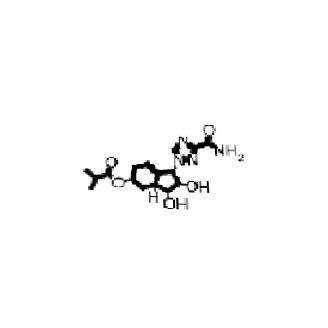 CC(C)C(=O)O[C@H]1CC=C2[C@@H](n3cnc(C(N)=O)n3)[C@H](O)[C@H](O)[C@H]2C1